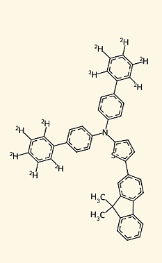 [2H]c1c([2H])c([2H])c(-c2ccc(N(c3ccc(-c4c([2H])c([2H])c([2H])c([2H])c4[2H])cc3)c3ccc(-c4ccc5c(c4)C(C)(C)c4ccccc4-5)s3)cc2)c([2H])c1[2H]